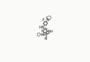 N#Cc1c[nH]c2nc(Nc3ccc(N4CCCCS4)c(F)c3)nc(NC3CCCC3)c12